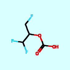 O=C(O)OC(CF)C(F)F